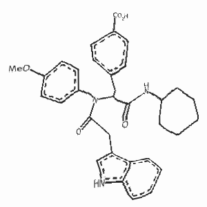 COc1ccc(N(C(=O)Cc2c[nH]c3ccccc23)C(C(=O)NC2CCCCC2)c2ccc(C(=O)O)cc2)cc1